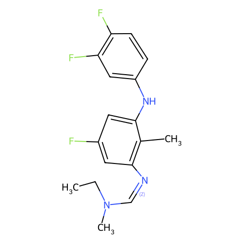 CCN(C)/C=N\c1cc(F)cc(Nc2ccc(F)c(F)c2)c1C